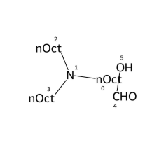 CCCCCCCCN(CCCCCCCC)CCCCCCCC.O=CO